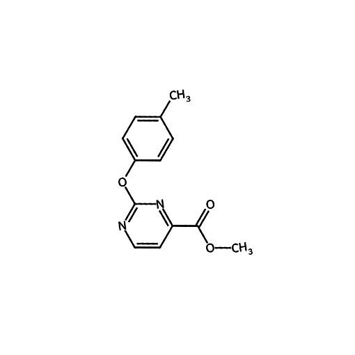 COC(=O)c1ccnc(Oc2ccc(C)cc2)n1